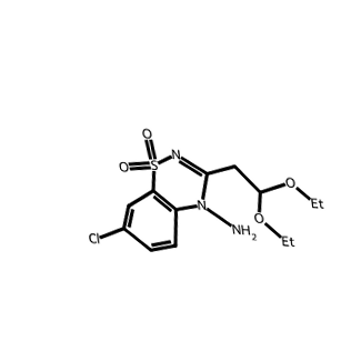 CCOC(CC1=NS(=O)(=O)c2cc(Cl)ccc2N1N)OCC